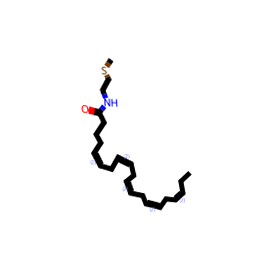 CC/C=C\C/C=C\C/C=C\C/C=C\C/C=C\CCCC(=O)NCCSC